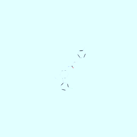 Cc1ccc(OCC(=O)N[C@H]2CC[C@](CN)(c3cccc(Cl)c3)CC2)cc1.Cl